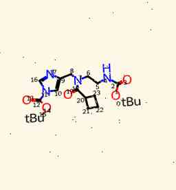 CC(C)(C)OC(=O)NCCN(Cc1cn(C(=O)OC(C)(C)C)cn1)C(=O)C1CCC1